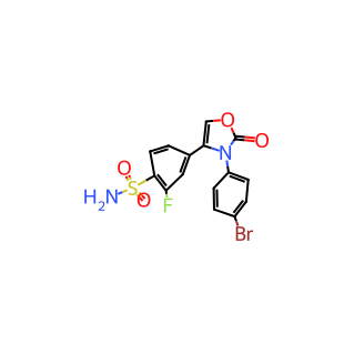 NS(=O)(=O)c1ccc(-c2coc(=O)n2-c2ccc(Br)cc2)cc1F